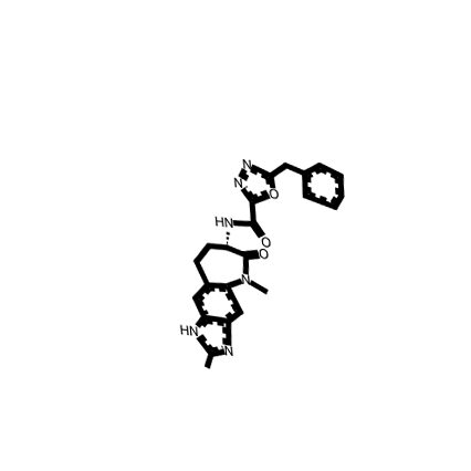 Cc1nc2cc3c(cc2[nH]1)CC[C@H](NC(=O)c1nnc(Cc2ccccc2)o1)C(=O)N3C